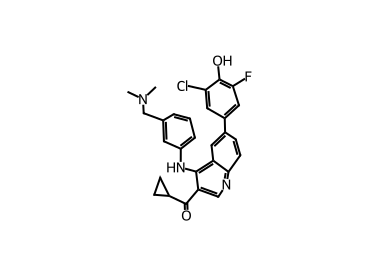 CN(C)Cc1cccc(Nc2c(C(=O)C3CC3)cnc3ccc(-c4cc(F)c(O)c(Cl)c4)cc23)c1